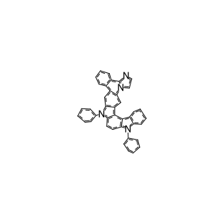 c1ccc(-n2c3ccccc3c3c4c5cc6c(cc5n(-c5ccccc5)c4ccc32)c2ccccc2c2nccn62)cc1